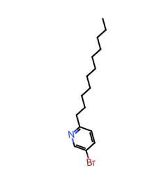 CCCCCCCCCCCc1ccc(Br)cn1